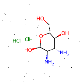 Cl.Cl.N[C@@H]1[C@@H](N)[C@@H](O)O[C@H](CO)[C@H]1O